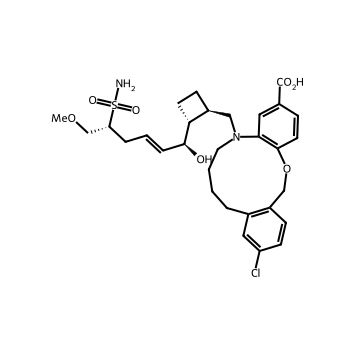 COC[C@@H](C/C=C/[C@H](O)[C@@H]1CC[C@H]1CN1CCCCc2cc(Cl)ccc2COc2ccc(C(=O)O)cc21)S(N)(=O)=O